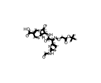 CC(C)(C)OC(=O)CON=C(C(=O)NC1C(=O)N2C=C(C(=O)O)CS[C@H]12)c1csc(NC=O)n1